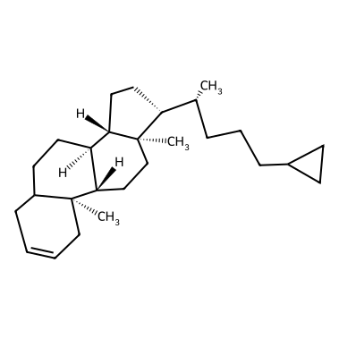 C[C@H](CCCC1CC1)[C@H]1CC[C@H]2[C@@H]3CCC4CC=CC[C@]4(C)[C@H]3CC[C@]12C